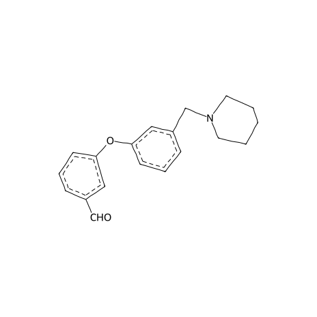 O=Cc1cccc(Oc2cccc(CN3CCCCC3)c2)c1